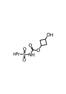 CCCS(=O)(=O)NC(=O)OC1CC(O)C1